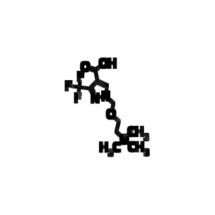 C[Si](C)(C)CCOCn1cc(C(=O)O)c(C(F)(F)F)n1